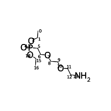 CCOP(=O)(CCOCCOCCN)OCC